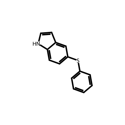 c1ccc(Sc2ccc3[nH]ccc3c2)cc1